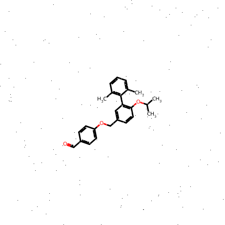 Cc1cccc(C)c1-c1cc(COc2ccc(C=O)cc2)ccc1OC(C)C